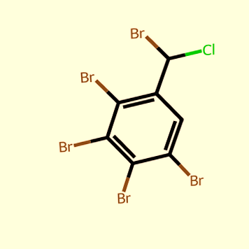 ClC(Br)c1cc(Br)c(Br)c(Br)c1Br